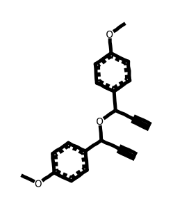 C#CC(OC(C#C)c1ccc(OC)cc1)c1ccc(OC)cc1